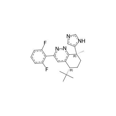 CC(C)(C)[C@H]1CC[C@](C)(c2cnc[nH]2)c2nnc(-c3c(F)cccc3F)cc21